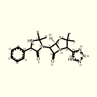 CC1(C)S[C@@H]2C(N3C(=O)C(c4ccccc4)NC3(C)C)C(=O)N2C1c1nnn[nH]1